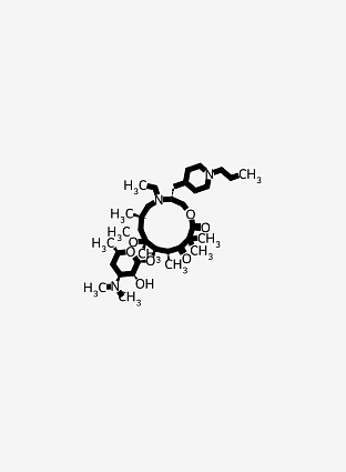 CCCN1CCC(C[C@@H]2COC(=O)C(C)(C)C(=O)[C@H](C)[C@@H](O[C@@H]3O[C@H](C)C[C@H](N(C)C)[C@H]3O)[C@](C)(OC)C[C@@H](C)CN2CC)CC1